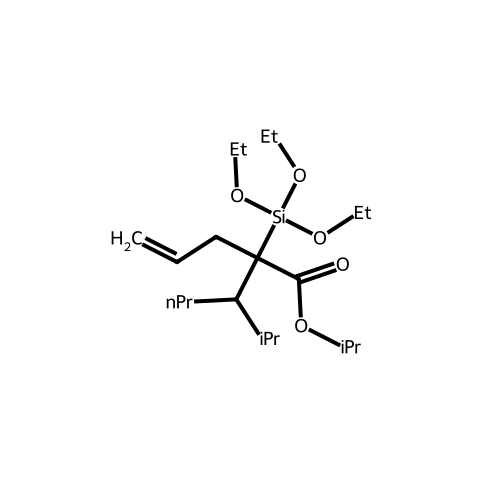 C=CCC(C(=O)OC(C)C)(C(CCC)C(C)C)[Si](OCC)(OCC)OCC